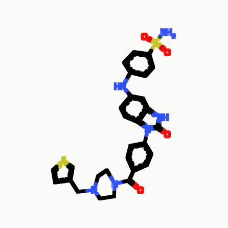 NS(=O)(=O)c1ccc(Nc2ccc3c(c2)[nH]c(=O)n3-c2ccc(C(=O)N3CCN(Cc4ccsc4)CC3)cc2)cc1